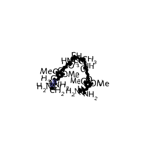 C=N/C(N)=N\C(N)=C(/C)Cc1cc(OC)c(OCCCCC(=O)NCCC(C)(C)COCC(C)(C)CCNC(=O)CCCCOc2c(OC)cc(Cc3cnc(N)nc3N)cc2OC)c(OC)c1